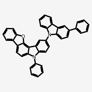 c1ccc(-c2ccc3c(c2)c2ccccc2n3-c2ccc3c(c2)c2c4oc5ccccc5c4ccc2n3-c2ccccc2)cc1